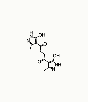 Cc1n[nH]c(O)c1C(=O)CCC(=O)c1c(C)n[nH]c1O